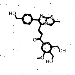 COc1cc(C(=O)/C=C/c2c(-c3ccc(CO)cc3)nc3sc(C)cn23)cc(CO)c1CO